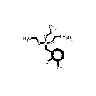 CCO[Si](Cc1cccc(C)c1C)(OCC)OCC.S